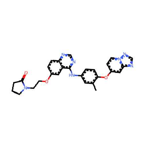 Cc1cc(Nc2ncnc3ccc(OCCN4CCCC4=O)cc23)ccc1Oc1ccn2ncnc2c1